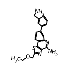 CCOCc1nc2c(N)nc3cc(-c4cccc(CN)c4)ccc3c2s1